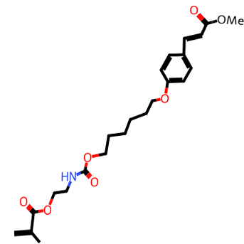 C=C(C)C(=O)OCCNC(=O)OCCCCCCOc1ccc(C=CC(=O)OC)cc1